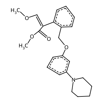 CO/C=C(\C(=O)OC)c1ccccc1COc1cccc(N2CCCCC2)c1